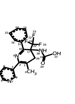 CC1=C(c2cccnc2)N=C(c2ccccc2)C(NC(=O)O)(C(F)(F)F)C1